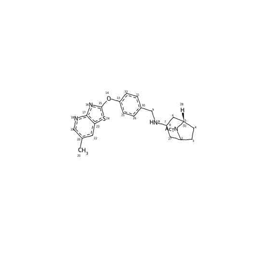 CC(=O)N1C2CC[C@H]1CC(NCc1ccc(Oc3nc4ncc(C)cc4s3)cc1)C2